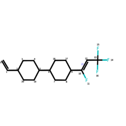 C=CC1CCC(C2CCC(/C(F)=C/C(F)(F)F)CC2)CC1